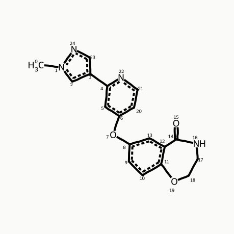 Cn1cc(-c2cc(Oc3ccc4c(c3)C(=O)NCCO4)ccn2)cn1